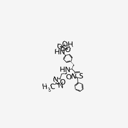 Cc1noc(CC(=O)N[C@@H](Cc2ccc(NS(=O)(=O)O)cc2)c2csc(-c3ccccc3)n2)n1